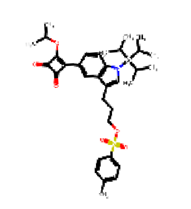 Cc1ccc(S(=O)(=O)OCCCc2cn([Si](C(C)C)(C(C)C)C(C)C)c3ccc(-c4c(OC(C)C)c(=O)c4=O)cc23)cc1